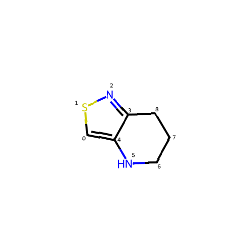 c1snc2c1NCCC2